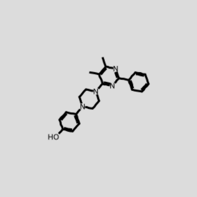 Cc1nc(-c2ccccc2)nc(N2CCN(c3ccc(O)cc3)CC2)c1C